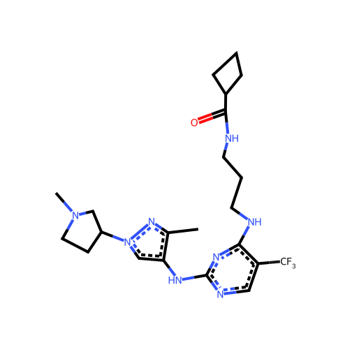 Cc1nn(C2CCN(C)C2)cc1Nc1ncc(C(F)(F)F)c(NCCCNC(=O)C2CCC2)n1